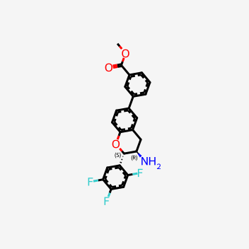 COC(=O)c1cccc(-c2ccc3c(c2)C[C@@H](N)[C@H](c2cc(F)c(F)cc2F)O3)c1